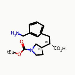 CC(C)(C)OC(=O)N1CC[C@H]([C@H](Cc2cccc(CN)c2)C(=O)O)C1